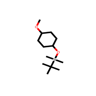 COC1CCC(O[Si](C)(C)C(C)(C)C)CC1